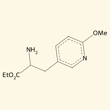 CCOC(=O)C(N)Cc1ccc(OC)nc1